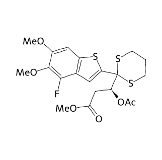 COC(=O)C[C@H](OC(C)=O)C1(c2cc3c(F)c(OC)c(OC)cc3s2)SCCCS1